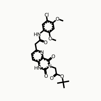 COc1cc(OC)c(NC(=O)Cc2ccc3[nH]c(=O)n(CC(=O)OC(C)(C)C)c(=O)c3n2)cc1Cl